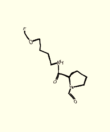 O=CN1CCCC1C(=O)NCCCCOF